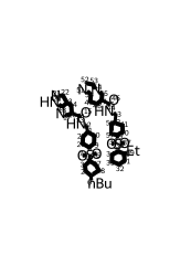 CCCCc1ccc(S(=O)(=O)c2ccc(CNC(=O)c3cnc4[nH]ncc4c3)cc2)cc1.CCc1ccccc1S(=O)(=O)c1ccc(CNC(=O)c2ccc3nccn3c2)cc1